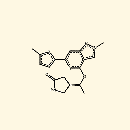 Cc1ccc(-c2cc3nn(C)cc3c(OC(C)[C@H]3CNC(=O)C3)n2)s1